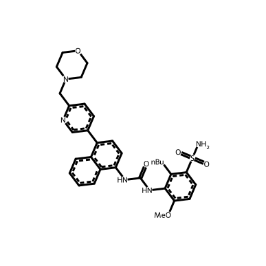 CCCCc1c(S(N)(=O)=O)ccc(OC)c1NC(=O)Nc1ccc(-c2ccc(CN3CCOCC3)nc2)c2ccccc12